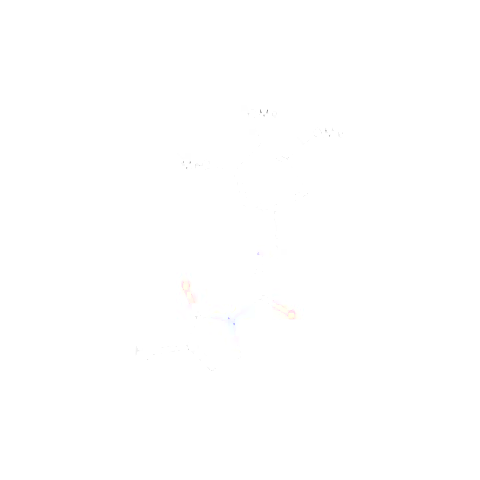 C=C1CCN(C(=O)/C=C/c2cc(OC)c(OC)c(OC)c2)C1=O